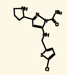 CC(C)(C)C(=O)n1nc(C2CCCN2)cc1NCc1ccc(Cl)s1